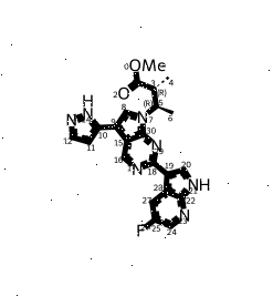 COC(=O)[C@H](C)[C@@H](C)n1cc(-c2ccn[nH]2)c2cnc(-c3c[nH]c4ncc(F)cc34)nc21